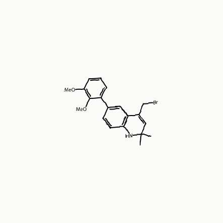 COc1cccc(-c2ccc3c(c2)C(CBr)=CC(C)(C)N3)c1OC